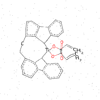 C=CC(=O)[O][Ti]1([O]C(=O)C=C)[CH]2c3ccccc3-c3cccc(c32)CCc2cccc3c2[CH]1c1ccccc1-3